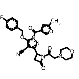 Cc1cc(C(=O)n2nc(C3CC(=O)N3C(=O)CN3CCOCC3)c(C#N)c2OCc2ccc(F)cc2)co1